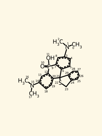 CN(C)c1ccc2c(c1)P(=O)(O)c1cc(N(C)C)ccc1C21SCc2ccccc21